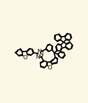 c1ccc(C2(c3ccc4c(c3)-c3ccccc3C43c4ccccc4-c4ccccc43)c3cccc(c3)-c3nc(-c4ccc5c(c4)oc4ccccc45)nc(n3)-c3cccc4oc5ccc2cc5c34)cc1